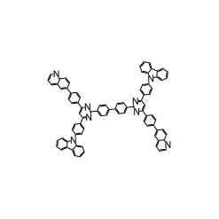 c1cnc2ccc(-c3ccc(-c4cc(-c5ccc(-n6c7ccccc7c7ccccc76)cc5)nc(-c5ccc(-c6ccc(-c7nc(-c8ccc(-c9ccc%10ncccc%10c9)cc8)cc(-c8ccc(-n9c%10ccccc%10c%10ccccc%109)cc8)n7)cc6)cc5)n4)cc3)cc2c1